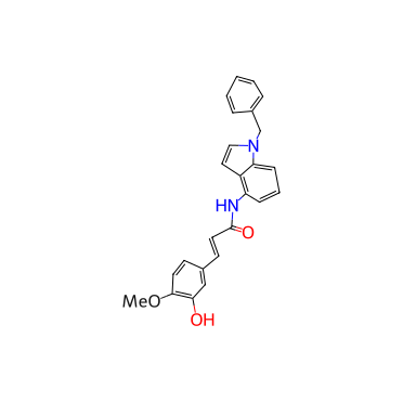 COc1ccc(C=CC(=O)Nc2cccc3c2ccn3Cc2ccccc2)cc1O